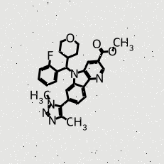 COC(=O)c1cnc2c3ccc(-c4c(C)nnn4C)cc3n(C(c3ccccc3F)C3CCOCC3)c2c1